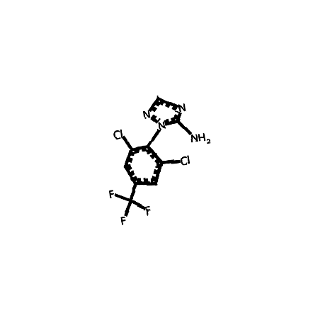 Nc1n[c]nn1-c1c(Cl)cc(C(F)(F)F)cc1Cl